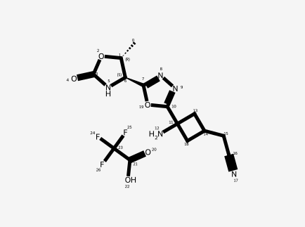 C[C@H]1OC(=O)N[C@@H]1c1nnc(C2(N)CC(CC#N)C2)o1.O=C(O)C(F)(F)F